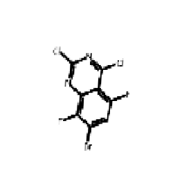 Fc1c(Br)cc(F)c2c(Cl)nc(Cl)nc12